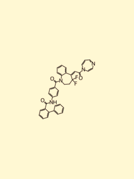 O=C(Nc1ccc(C(=O)N2CCC(F)(F)C(=CC(=O)N3C=CC=NC=C3)c3ccccc32)cc1)c1ccccc1-c1ccccc1